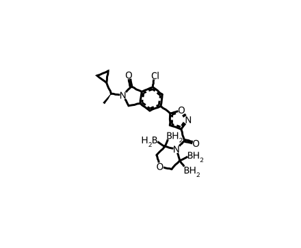 BC1(B)COCC(B)(B)N1C(=O)c1cc(-c2cc(Cl)c3c(c2)CN([C@@H](C)C2CC2)C3=O)on1